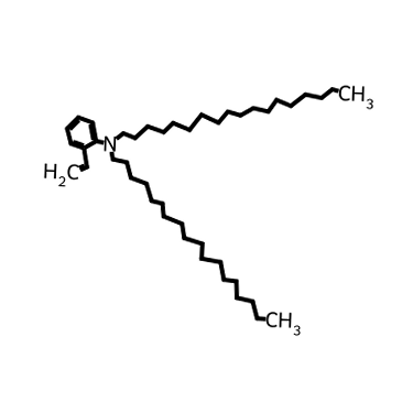 C=Cc1ccccc1N(CCCCCCCCCCCCCCCCCC)CCCCCCCCCCCCCCCCCC